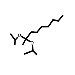 CCCCCCCC(C)(OC(C)C)OC(C)C